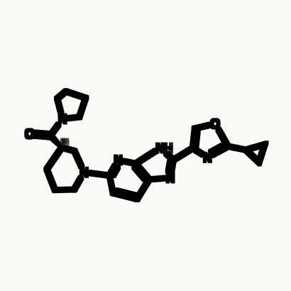 O=C([C@@H]1CCCN(c2ccc3nc(-c4coc(C5CC5)n4)[nH]c3n2)C1)N1CCCC1